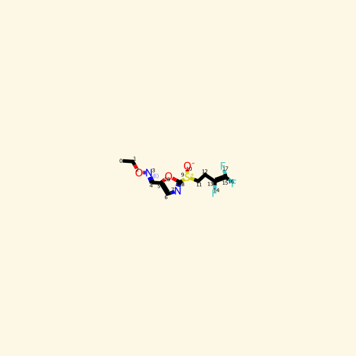 CCO/N=C/c1cnc([S+]([O-])CCC(F)=C(F)F)o1